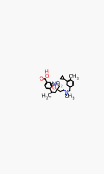 C=C(CC(CC)(CCN(C)CC1C=CC(C)=C(C2CC2)C1)ON)c1ccc(C(=O)O)cc1